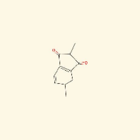 CC1C=CC2=C(C1)C(=O)C(C)C2=O